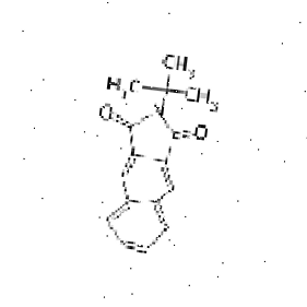 CC(C)(C)N1C(=O)c2cc3ccccc3cc2C1=O